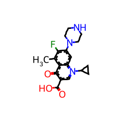 Cc1c(F)c(N2CCNCC2)cc2c1c(=O)c(C(=O)O)cn2C1CC1